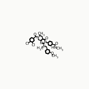 CNC(=O)c1ccc(-n2c(N(C)Cc3cccc(OC)c3)nc3c(c2=O)C[C@@H](C)N(C(=O)c2ccc(Cl)c(Cl)c2)C3)cc1